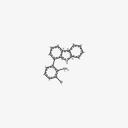 Nc1c(Br)cccc1-c1cccc2c1oc1ccccc12